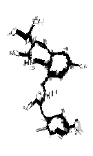 O=C(NCc1cc(Cl)cc2cc(C(=O)O)c(=O)[nH]c12)c1cccc(Cl)c1